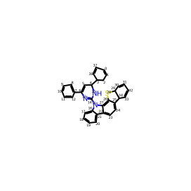 C1=CCC(C2C=C(c3ccccc3)N=C(n3c4ccccc4c4ccc5c(c43)SC3C=CC=CC53)N2)C=C1